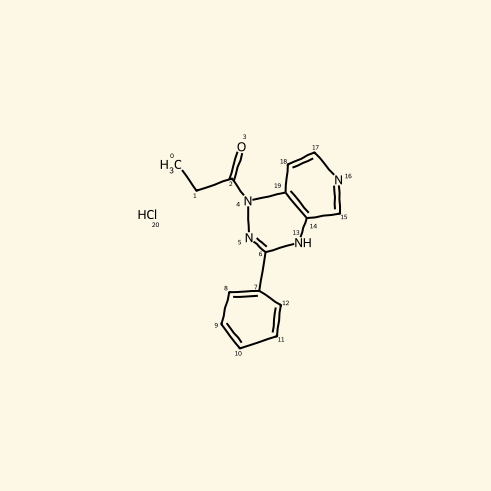 CCC(=O)N1N=C(c2ccccc2)Nc2cnccc21.Cl